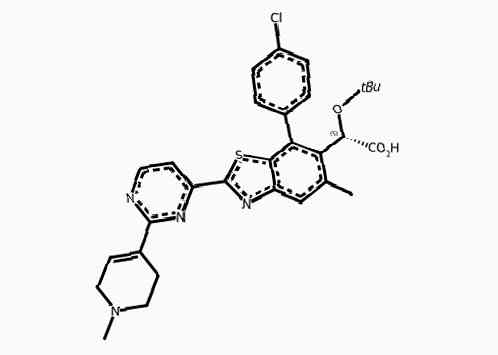 Cc1cc2nc(-c3ccnc(C4=CCN(C)CC4)n3)sc2c(-c2ccc(Cl)cc2)c1[C@H](OC(C)(C)C)C(=O)O